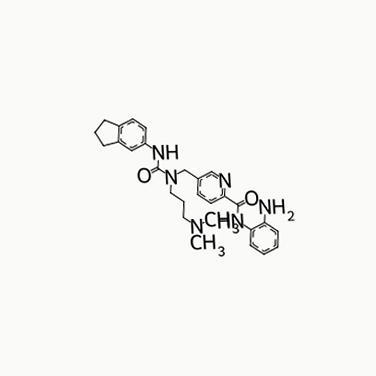 CN(C)CCCN(Cc1ccc(C(=O)Nc2ccccc2N)nc1)C(=O)Nc1ccc2c(c1)CCC2